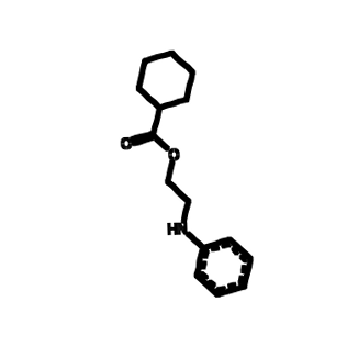 O=C(OCCNc1ccccc1)C1CCCCC1